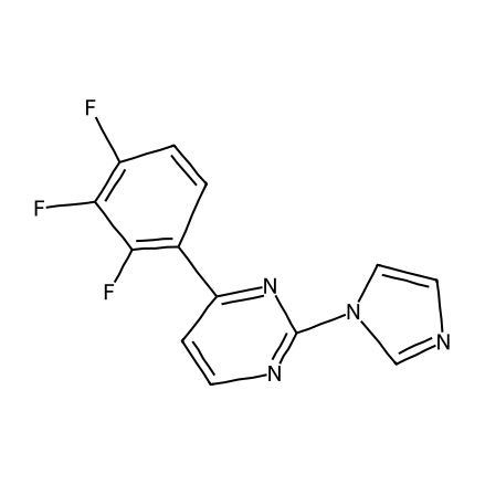 Fc1ccc(-c2ccnc(-n3ccnc3)n2)c(F)c1F